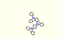 c1ccc(-n2c3ccccc3c3c2ccc2c4ccccc4n(-c4ccc(-n5c6ccccc6c6ccccc65)cc4)c23)cc1